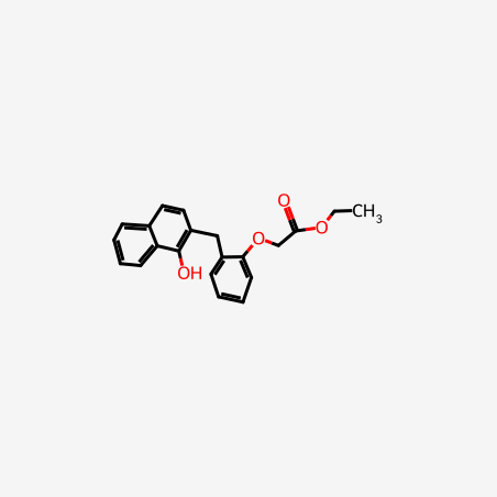 CCOC(=O)COc1ccccc1Cc1ccc2ccccc2c1O